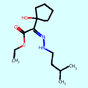 CCOC(=O)C(=NNCCC(C)C)C1(O)CCCC1